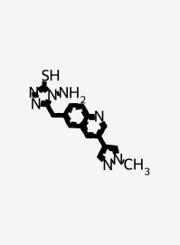 Cn1cc(-c2cnc3ccc(Cc4nnc(S)n4N)cc3c2)cn1